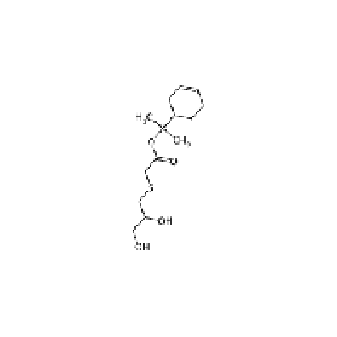 CC(C)(OC(=O)CSCC(O)CO)C1CC=CCC1